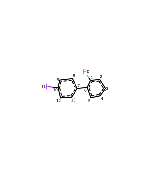 Fc1c[c]ccc1-c1ccc(I)cc1